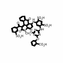 Cn1c(=O)c(C(=O)c2cccc(S(=O)(=O)O)c2)c2c3c(c(Nc4cc(Nc5nc(O)nc(Oc6ccccc6C(=O)O)n5)c(S(=O)(=O)O)cc4S(=O)(=O)O)ccc31)C(=O)c1ccccc1-2